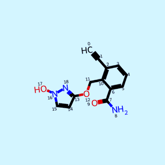 C#Cc1cccc(C(N)=O)c1COc1ccn(O)n1